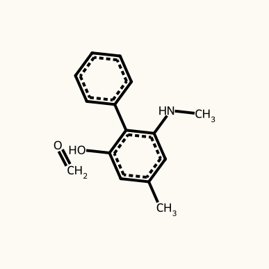 C=O.CNc1cc(C)cc(O)c1-c1ccccc1